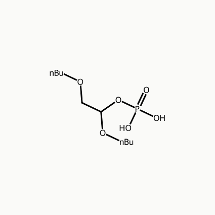 CCCCOCC(OCCCC)OP(=O)(O)O